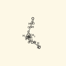 Cc1cc(OCCCC(=O)NCCNC(=O)OCc2ccccc2)cc(C)c1S(=O)(=O)N[C@@H](CNC(=O)c1ccc2c(cnn2CCCNc2ncccn2)c1)C(=O)O